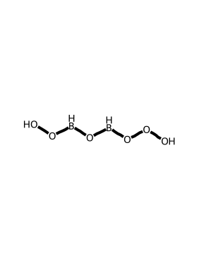 OOBOBOOO